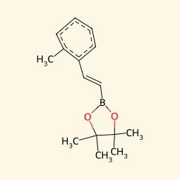 Cc1ccccc1C=CB1OC(C)(C)C(C)(C)O1